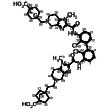 Cn1c(C(=O)Nc2cccc(-c3cccc(NC(=O)c4nc5c(n4C)CCN(CC46CCC(C(=O)O)(CC4)CC6)C5)c3Cl)c2Cl)nc2c1CCN(CCC13CCC(C(=O)O)(CC1)C3)C2